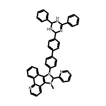 CN1c2c(c3ccccc3c3ncccc23)N(c2ccc(-c3ccc(C4N=C(c5ccccc5)NC(c5ccccc5)N4)cc3)cc2)C1c1ccccn1